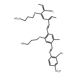 C/C=C(/C=C(OCCCS(=O)(=O)O)\C(N)=C/C)N=Nc1cc(C)c(N=Nc2ccc(S(=O)(=O)O)cc2S)cc1OCCCS